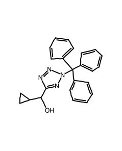 OC(c1nnn(C(c2ccccc2)(c2ccccc2)c2ccccc2)n1)C1CC1